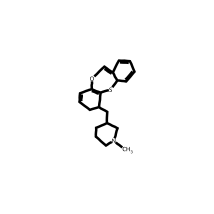 CN1CCCC(CC2CC=CC3=C2SC2C=CC=CC2=CO3)C1